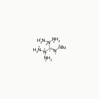 CCCCN=C(N(N)N)N(N)N